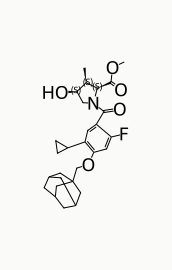 COC(=O)[C@@H]1[C@H](C)[C@H](O)CN1C(=O)c1cc(C2CC2)c(OCC23CC4CC(CC(C4)C2)C3)cc1F